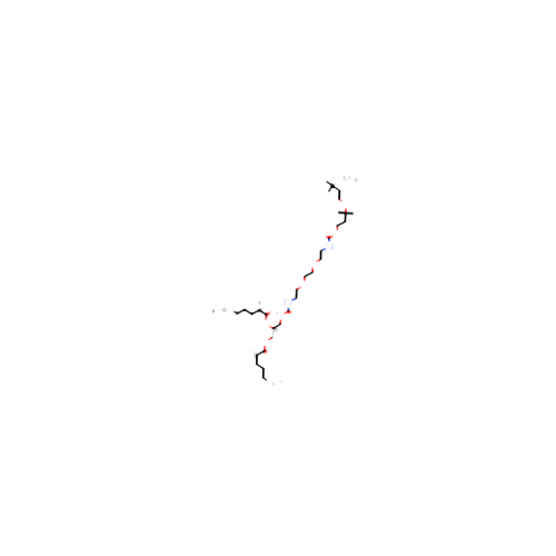 CCCCCCCCCCCCC[C@@H](C)C(=O)OC[C@H](COC(=O)NCCOCCOCCNC(=O)OCCC(C)(C)OCCC(C)(C)OC)OC(=O)[C@H](C)CCCCCCCCCCCCC